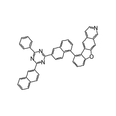 c1ccc(-c2nc(-c3ccc4ccccc4c3)nc(-c3ccc4c(-c5cccc6oc7cc8cnccc8cc7c56)cccc4c3)n2)cc1